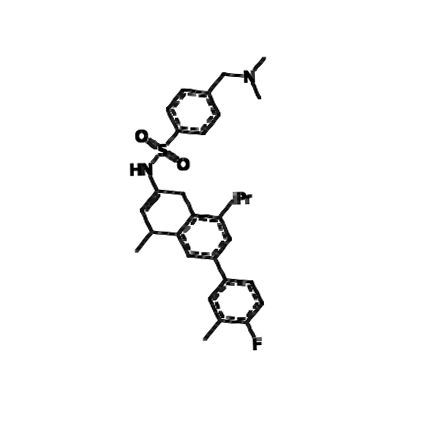 Cc1cc(-c2cc(C(C)C)c3c(c2)C(C)C=C(NS(=O)(=O)c2ccc(CN(C)C)cc2)C3)ccc1F